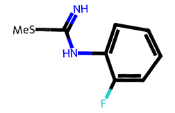 CSC(=N)Nc1ccccc1F